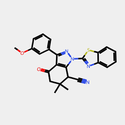 COc1cccc(-c2nn(-c3nc4ccccc4s3)c3c2C(=O)CC(C)(C)C3C#N)c1